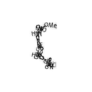 COCCn1c(=O)c2cnc(Nc3ccc(N4CCN(C(=O)c5cc(Cc6n[nH]c(=O)c7ccc(COCCn8c(=O)c9cnc(Cl)nc9n8-c8ccccn8)cc67)ccc5F)CC4)cc3)nc2n1-c1ccccn1